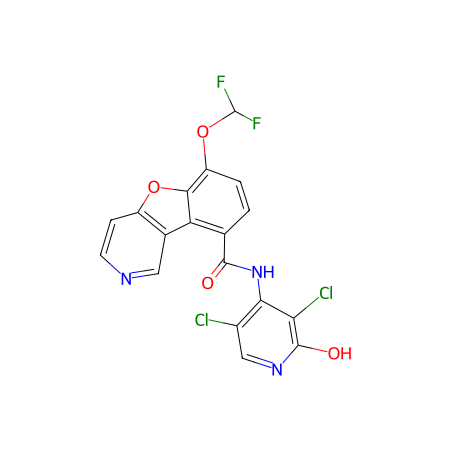 O=C(Nc1c(Cl)cnc(O)c1Cl)c1ccc(OC(F)F)c2oc3ccncc3c12